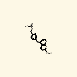 COc1ccc2c(Cc3ccc(CO[PH](=O)O)cc3)ccnc2n1